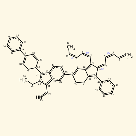 C=C/C=C\C=C1/C(/C=C\C=C/C)=C2C=C(c3ccc4c(c3)c(C=N)c(CC)n4C3C=CC(c4ccccc4)=CC3)CCC2=C1c1ccccc1